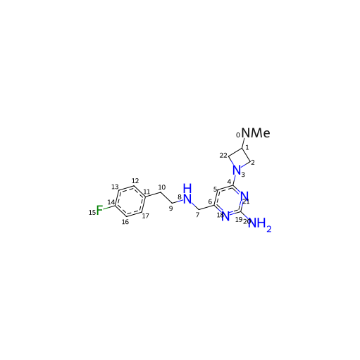 CNC1CN(c2cc(CNCCc3ccc(F)cc3)nc(N)n2)C1